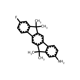 CC1(C)c2cc(N)ccc2-c2cc3c(cc21)-c1ccc(F)cc1C3(C)C